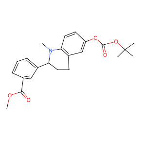 COC(=O)c1cccc(C2CCc3cc(OC(=O)OC(C)(C)C)ccc3N2C)c1